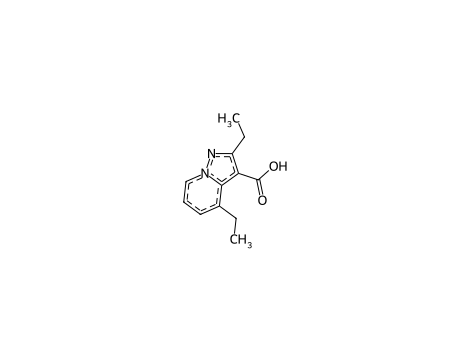 CCc1nn2cccc(CC)c2c1C(=O)O